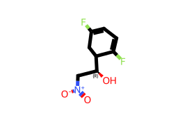 O=[N+]([O-])C[C@H](O)C1CC(F)=CC=C1F